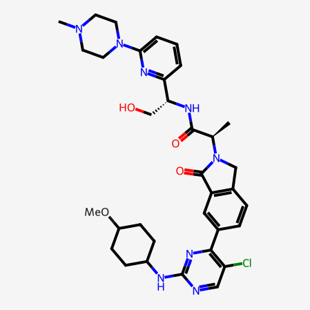 COC1CCC(Nc2ncc(Cl)c(-c3ccc4c(c3)C(=O)N([C@H](C)C(=O)N[C@H](CO)c3cccc(N5CCN(C)CC5)n3)C4)n2)CC1